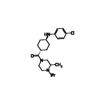 CC(C)N1CCN(C(=O)[C@H]2CC[C@H](Nc3ccc(Cl)cc3)CC2)CC1C